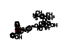 Cc1ncsc1-c1ccc([C@H](C)NC(=O)[C@@H]2C[C@@H](O)CN2C(=O)[C@H](c2onc(OCCN3CCN(CCOc4cc(N5C6CCC5CN(c5cc(-c7ccccc7O)nnc5N)C6)ccn4)CC3)c2Cl)C(C)C)cc1